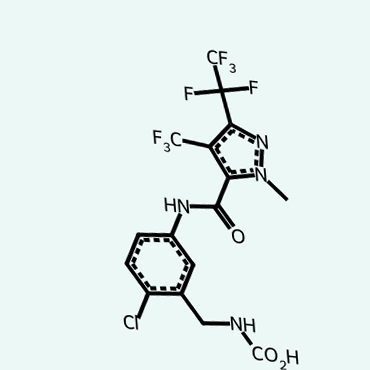 Cn1nc(C(F)(F)C(F)(F)F)c(C(F)(F)F)c1C(=O)Nc1ccc(Cl)c(CNC(=O)O)c1